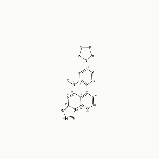 CN(c1cccc(N2CCCC2)c1)c1nc2nncn2c2ccccc12